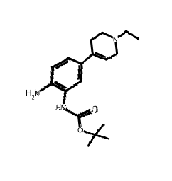 CCN1CC=C(c2ccc(N)c(NC(=O)OC(C)(C)C)c2)CC1